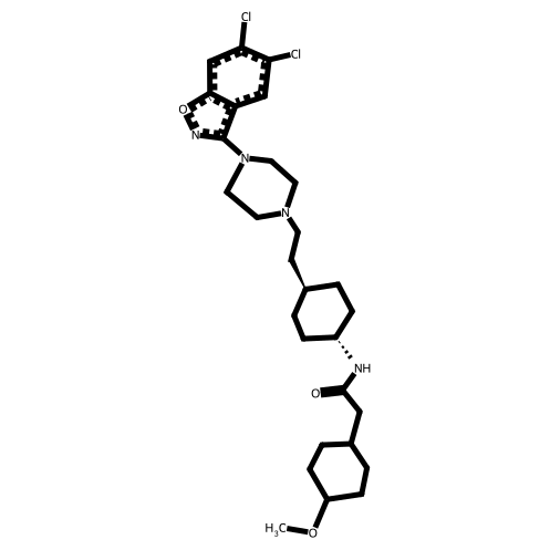 COC1CCC(CC(=O)N[C@H]2CC[C@H](CCN3CCN(c4noc5cc(Cl)c(Cl)cc45)CC3)CC2)CC1